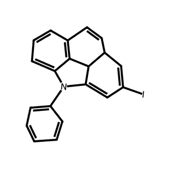 IC1=CC2C=Cc3cccc4c3C2C(=C1)N4c1ccccc1